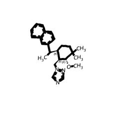 CO[C@@H]1[C@@H](Cn2cncn2)[C@@H](C(C)c2ccc3ccccc3c2)CCC1(C)C